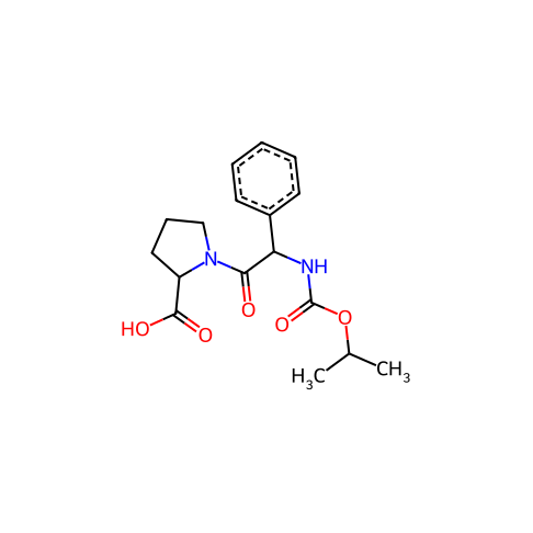 CC(C)OC(=O)NC(C(=O)N1CCCC1C(=O)O)c1ccccc1